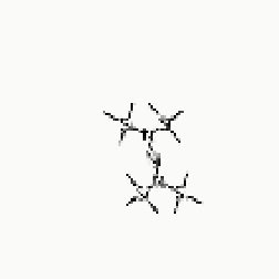 C[Si](C)(C)[N]([Ni][N]([Si](C)(C)C)[Si](C)(C)C)[Si](C)(C)C